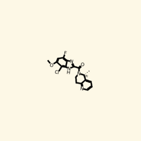 COc1cc(F)c2nc(C(=O)N3CCc4ncccc4[C@H]3C)[nH]c2c1Cl